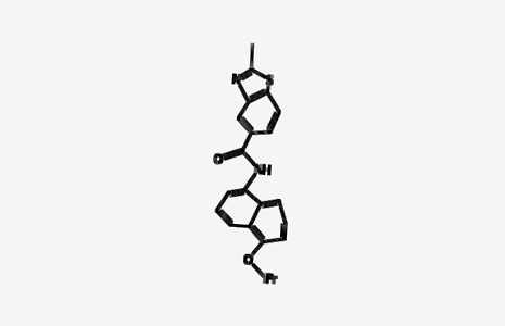 Cc1nc2cc(C(=O)Nc3cccc4c(OC(C)C)cccc34)ccc2s1